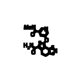 CNC(=O)c1cncc(Oc2sc(C(N)=O)c3c2-c2sncc2CC3)c1